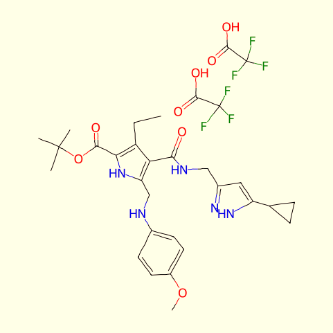 CCc1c(C(=O)OC(C)(C)C)[nH]c(CNc2ccc(OC)cc2)c1C(=O)NCc1cc(C2CC2)[nH]n1.O=C(O)C(F)(F)F.O=C(O)C(F)(F)F